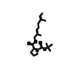 C/C=C(\C)CC/C=C(\C)COC(=O)C1CCCN1C(=O)OC(C)(C)C